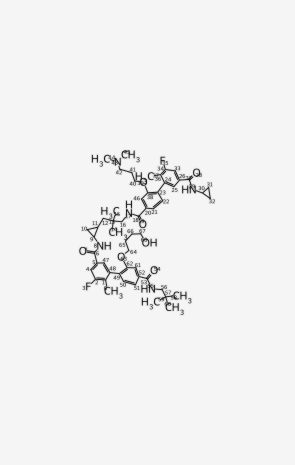 Cc1c(F)cc(C(=O)NC2CC2CC(C)(C)CNC(=O)c2ccc(-c3cc(C(=O)NC4CC4)cc(F)c3C)c(OCCCN(C)C)c2)cc1-c1ccc(C(=O)NCC(C)(C)C)cc1OCCCCO